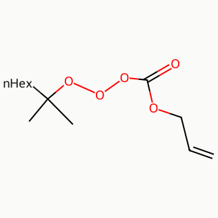 C=CCOC(=O)OOOC(C)(C)CCCCCC